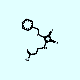 O=C(O)CCNc1c(NCc2ccccc2)c(=O)c1=O